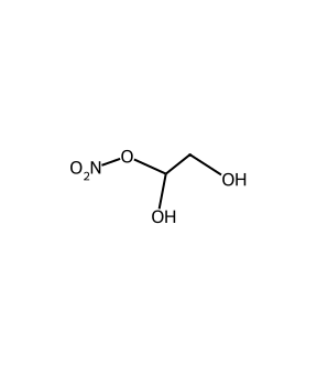 O=[N+]([O-])OC(O)CO